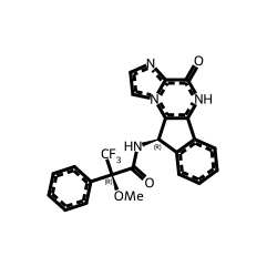 CO[C@@](C(=O)N[C@@H]1c2ccccc2-c2[nH]c(=O)c3nccn3c21)(c1ccccc1)C(F)(F)F